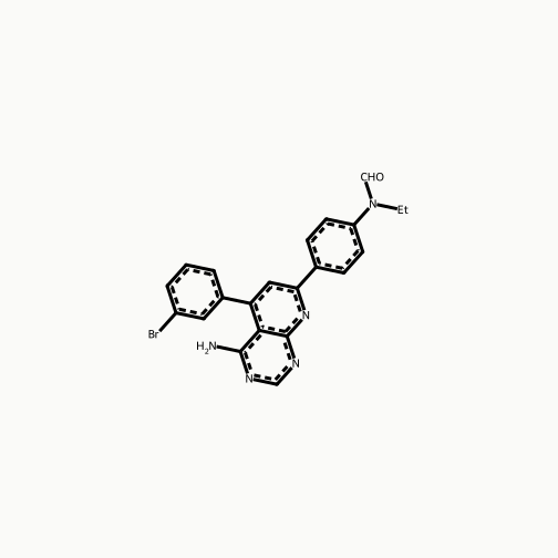 CCN(C=O)c1ccc(-c2cc(-c3cccc(Br)c3)c3c(N)ncnc3n2)cc1